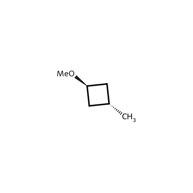 CO[C@H]1C[C@H](C)C1